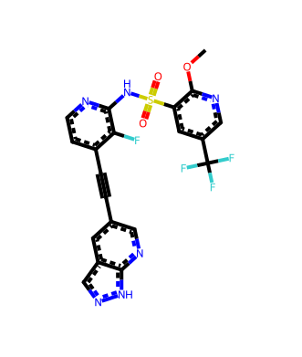 COc1ncc(C(F)(F)F)cc1S(=O)(=O)Nc1nccc(C#Cc2cnc3[nH]ncc3c2)c1F